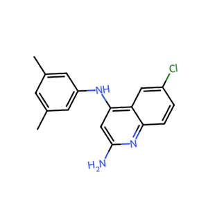 Cc1cc(C)cc(Nc2cc(N)nc3ccc(Cl)cc23)c1